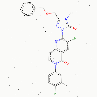 CCn1c(COCc2ccccc2)nn(-c2nc3ccn(-c4ccc(F)c(C)c4)c(=O)c3cc2F)c1=O